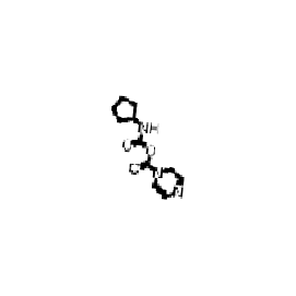 O=C(NC1CCCC1)OC(=O)N1C=CN=CC1